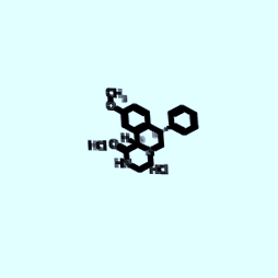 COc1ccc2c(c1)[C@H]1C(=O)NCCN1C[C@H]2c1ccccc1.Cl.Cl